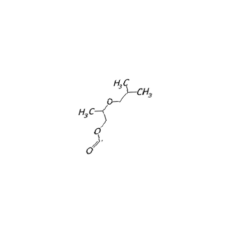 CC(C)COC(C)CO[C]=O